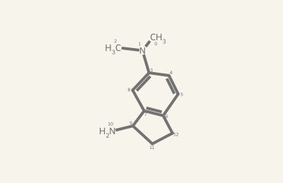 CN(C)c1ccc2c(c1)C(N)CC2